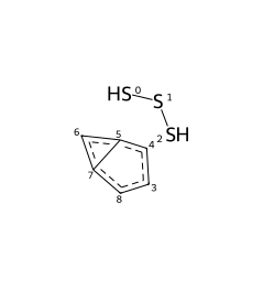 SSS.c1cc2cc-2c1